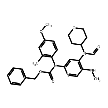 CNc1cnc(N(C(=O)OCc2ccccc2)c2ccc(OC)cc2C)cc1N(C=O)C1CCOCC1